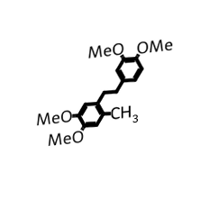 COc1ccc(CCc2cc(OC)c(OC)cc2C)cc1OC